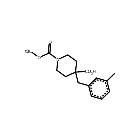 Cc1cccc(CC2(C(=O)O)CCN(C(=O)OC(C)(C)C)CC2)c1